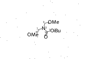 COCN(COC)C(=O)OCC(C)C